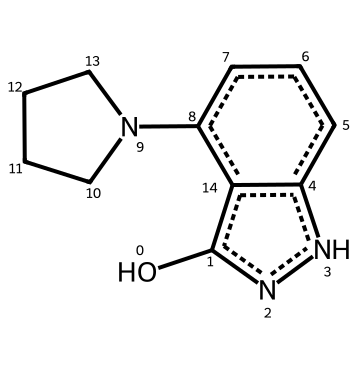 Oc1n[nH]c2cccc(N3CCCC3)c12